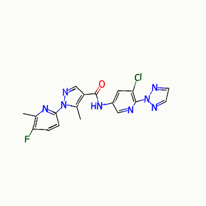 Cc1nc(-n2ncc(C(=O)Nc3cnc(-n4nccn4)c(Cl)c3)c2C)ccc1F